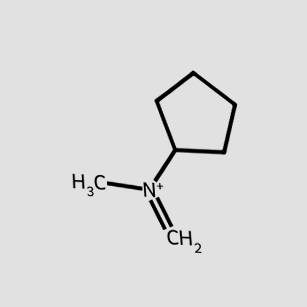 C=[N+](C)C1CCCC1